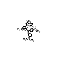 C=CC(=O)Nc1cc(Nc2ncc3c(C)cc(-c4ccn(C)c4)n3n2)c(OC)cc1N1CCC(N(C)C)CC1